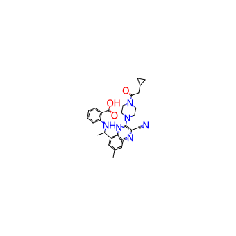 Cc1cc(C(C)Nc2ccccc2C(=O)O)c2nc(N3CCN(C(=O)CC4CC4)CC3)c(C#N)nc2c1